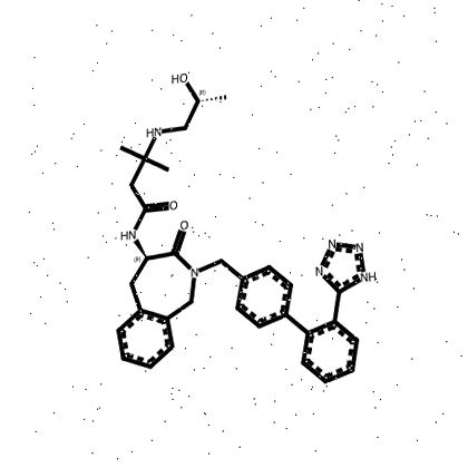 C[C@@H](O)CNC(C)(C)CC(=O)N[C@@H]1Cc2ccccc2CN(Cc2ccc(-c3ccccc3-c3nnn[nH]3)cc2)C1=O